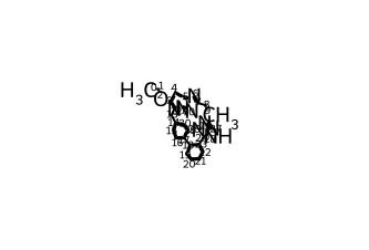 CCOc1cc2nc(CC)nn2n1Cc1ccc(-c2ccccc2-c2nnn[nH]2)cc1